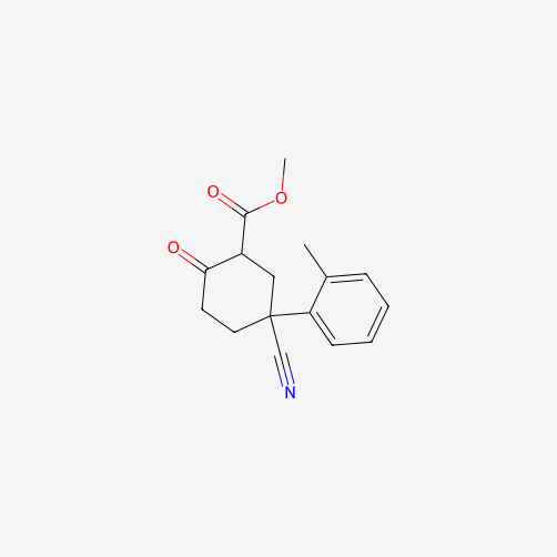 COC(=O)C1CC(C#N)(c2ccccc2C)CCC1=O